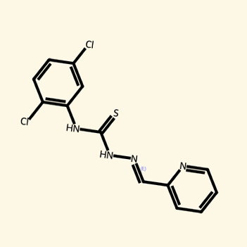 S=C(N/N=C/c1ccccn1)Nc1cc(Cl)ccc1Cl